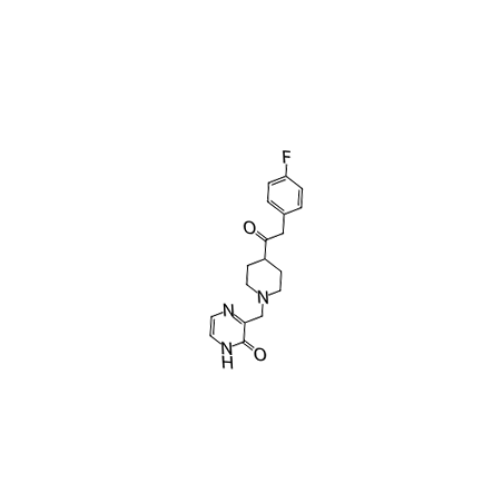 O=C(Cc1ccc(F)cc1)C1CCN(Cc2ncc[nH]c2=O)CC1